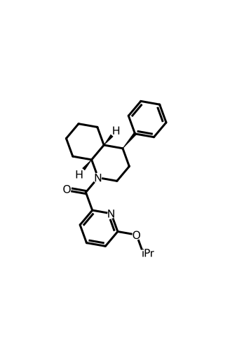 CC(C)Oc1cccc(C(=O)N2CC[C@H](c3ccccc3)[C@H]3CCCC[C@H]32)n1